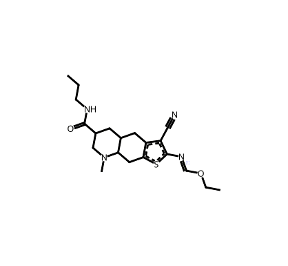 CCCNC(=O)C1CC2Cc3c(sc(/N=C/OCC)c3C#N)CC2N(C)C1